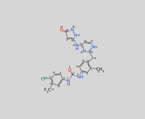 Cc1cc(NC(=O)Nc2ccc(Cl)c(C(F)(F)F)c2)ccc1Cc1nccc(NC2=CC(=O)N=N2)n1